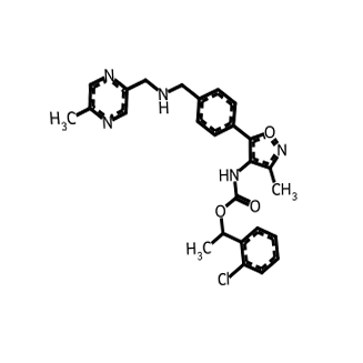 Cc1cnc(CNCc2ccc(-c3onc(C)c3NC(=O)OC(C)c3ccccc3Cl)cc2)cn1